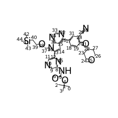 CC(C)(C)OC(=O)Nc1cncc(-c2cc3c(-c4ccc(OC5CCOCC5)c(C#N)c4)ncnc3n2COCC[Si](C)(C)C)n1